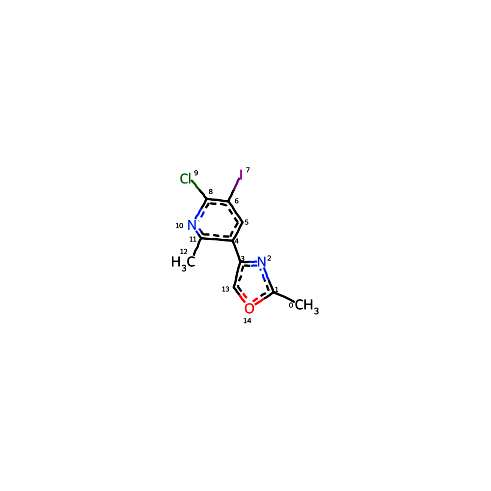 Cc1nc(-c2cc(I)c(Cl)nc2C)co1